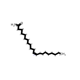 CCCCCCCC/C=C\CCCCCCCCCCC(N)=O